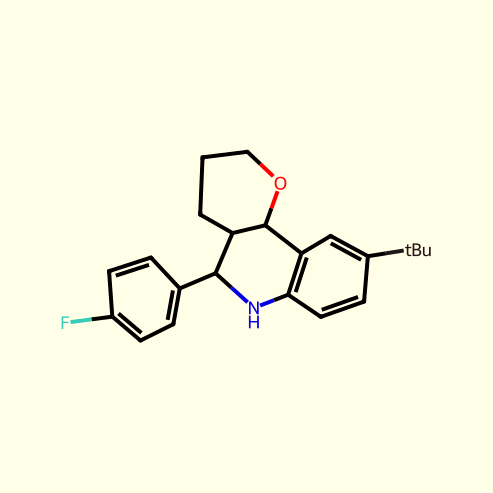 CC(C)(C)c1ccc2c(c1)C1OCCCC1C(c1ccc(F)cc1)N2